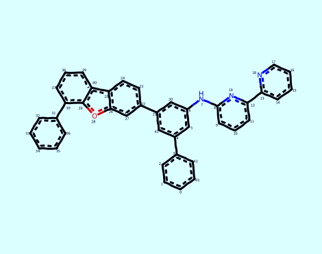 c1ccc(-c2cc(Nc3cccc(-c4ccccn4)n3)cc(-c3ccc4c(c3)oc3c(-c5ccccc5)cccc34)c2)cc1